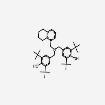 CC(C)(C)c1cc(CN(Cc2cc(C(C)(C)C)c(O)c(C(C)(C)C)c2)Cc2cccc3c2CCCC3)cc(C(C)(C)C)c1O